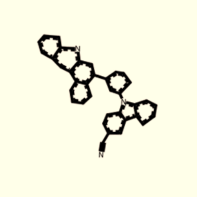 N#Cc1ccc2c(c1)c1ccccc1n2-c1cccc(-c2cc3nc4ccccc4cc3c3ccccc23)c1